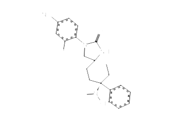 CN(C)[C@]1(c2ccccc2)CC[C@]2(CC1)CN(c1ccc(C#N)cc1F)C(=O)N2